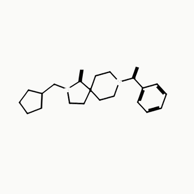 O=C(c1ccccc1)N1CCC2(CC1)CCN(CC1CCCC1)C2=O